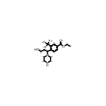 CCOC(=O)c1ccc(C(CCO)N2CCNCC2)c(C(F)(F)F)c1